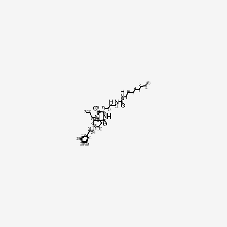 CCCCCCCCNC(=O)NCCCC[C@@H]1NC(=O)C2(CCN(CCc3ccccc3)CC2)N(CCC)C1=O